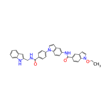 CCOn1ccc2cc(C(=O)Nc3ccc4c(ccn4-c4ccc(C(=O)NCc5cc6ccccc6[nH]5)cc4)c3)ccc21